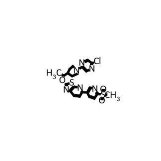 CC(Oc1nc2ccc(-c3ccc(S(C)(=O)=O)nc3)nc2s1)C1CCN(c2cnc(Cl)cn2)CC1